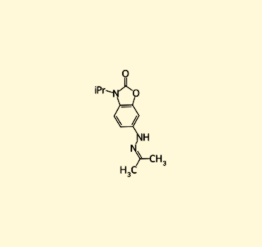 CC(C)=NNc1ccc2c(c1)oc(=O)n2C(C)C